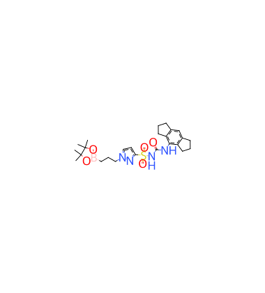 CC1(C)OB(CCCn2ccc(S(=O)(=O)NC(=O)Nc3c4c(cc5c3CCC5)CCC4)n2)OC1(C)C